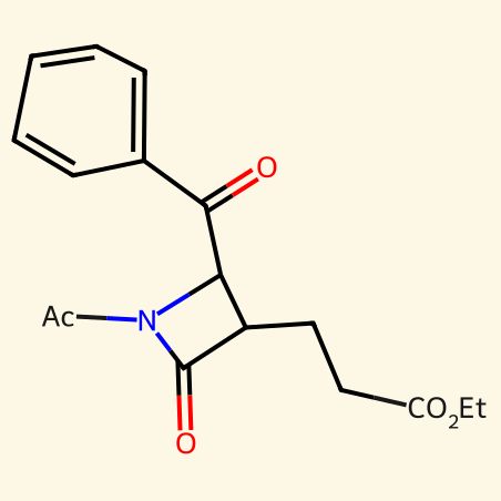 CCOC(=O)CCC1C(=O)N(C(C)=O)C1C(=O)c1ccccc1